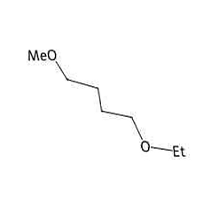 CCOCCCCOC